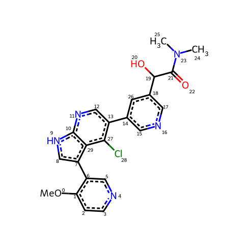 COc1ccncc1-c1c[nH]c2ncc(-c3cncc(C(O)C(=O)N(C)C)c3)c(Cl)c12